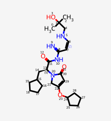 CC(C)(O)CN/C=C\C(=N)NC(=O)[C@H](CC1CCCC1)N1CC(OC2CCCC2)=CC1=O